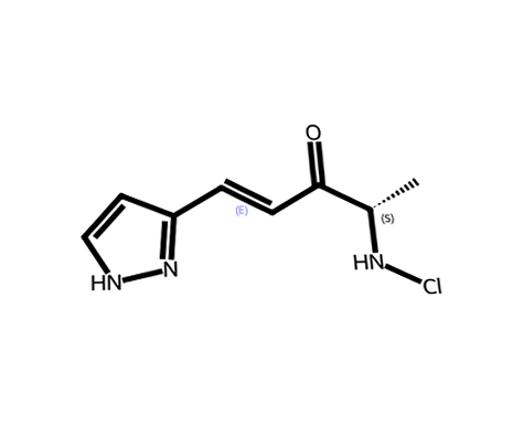 C[C@H](NCl)C(=O)/C=C/c1cc[nH]n1